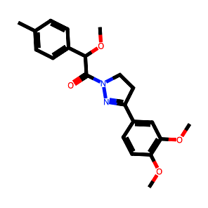 COc1ccc(C2=NN(C(=O)C(OC)c3ccc(C)cc3)CC2)cc1OC